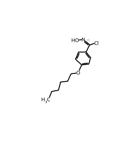 CCCCCCOc1ccc(/C(Cl)=N\O)cc1